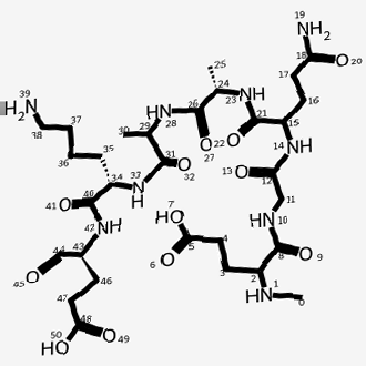 CNC(CCC(=O)O)C(=O)NCC(=O)NC(CCC(N)=O)C(=O)N[C@@H](C)C(=O)NC(C)C(=O)N[C@@H](CCCCN)C(=O)N[C@H](C=O)CCC(=O)O